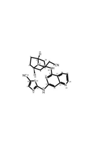 N#CCCN1[C@@H]2CC[C@H]1CN(Nc1nc(Nc3ncc(C#N)s3)cc3ncccc13)C2